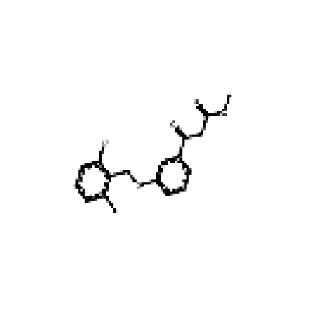 COC(=O)CC(=O)c1cccc(OCc2c(Cl)cccc2Cl)c1